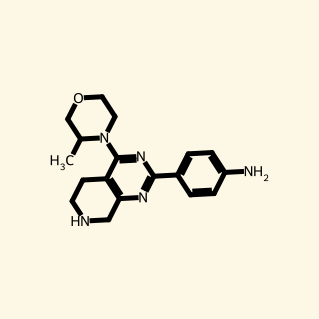 CC1COCCN1c1nc(-c2ccc(N)cc2)nc2c1CCNC2